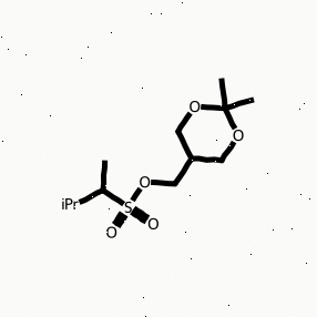 CC(C)C(C)S(=O)(=O)OCC1COC(C)(C)OC1